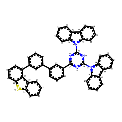 c1cc(-c2cccc(-c3cccc4sc5ccccc5c34)c2)cc(-c2nc(-n3c4ccccc4c4ccccc43)nc(-n3c4ccccc4c4ccccc43)n2)c1